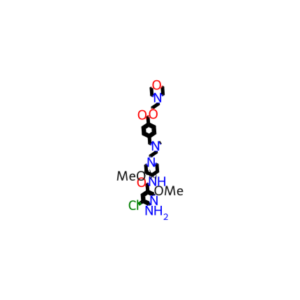 COc1nc(N)c(Cl)cc1C(=O)N[C@@H]1CCN(CCN(C)Cc2ccc(C(=O)OCCN3CCOCC3)cc2)C[C@@H]1OC